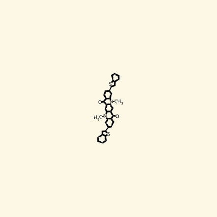 Cn1c2cc(-c3cc4ccccc4s3)ccc2c(=O)c2cc3c(cc21)c(=O)c1ccc(-c2cc4ccccc4s2)cc1n3C